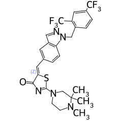 CN1CCN(C2=NC(=O)/C(=C/c3ccc4c(cnn4Cc4ccc(C(F)(F)F)cc4C(F)(F)F)c3)S2)CC1(C)C